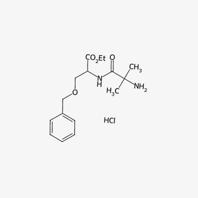 CCOC(=O)C(COCc1ccccc1)NC(=O)C(C)(C)N.Cl